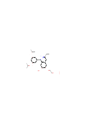 CCc1cc2cc(OCCO)c(OC)cc2c(-c2cc(OC(C)C)cc(OC(C)C)c2)n1